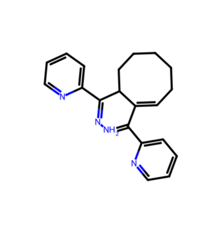 C=C(/C1=C/CCCCCC1/C(=N\N)c1ccccn1)c1ccccn1